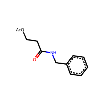 CC(=O)OCCC(=O)NCc1ccccc1